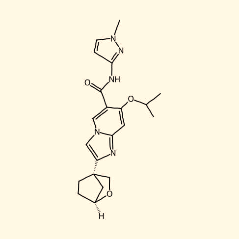 CC(C)Oc1cc2nc([C@@]34CC[C@@H](C3)OC4)cn2cc1C(=O)Nc1ccn(C)n1